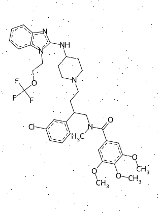 COc1cc(C(=O)N(C)CC(CCN2CCC(Nc3nc4ccccc4n3CCOC(F)(F)F)CC2)c2cccc(Cl)c2)cc(OC)c1OC